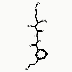 CC(C)SCCC(N)C(O)C(=O)NNC(=O)c1cccc(SCC(C)(C)C)c1